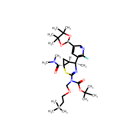 CN(C)C(=O)[C@]12C[C@H]1[C@@](C)(c1cc(B3OC(C)(C)C(C)(C)O3)cnc1F)N=C(N(COCC[Si](C)(C)C)C(=O)OC(C)(C)C)S2